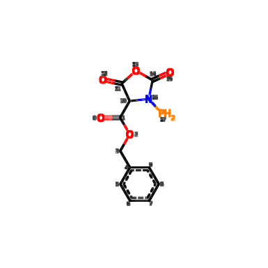 O=C(OCc1ccccc1)C1C(=O)OC(=O)N1P